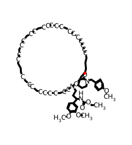 CCOC(=O)NC(CCN1CCCCCCCCCCCCCCCCCCCCCCCCCCCCCCCCCCCCCCCCCCC2(CCCN(Cc3ccc(OC)cc3)C2=O)C1)c1ccc(OC)c(OC)c1